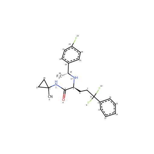 N#CC1(NC(=O)[C@H](CCC(F)(F)c2ccccc2)N[C@@H](c2ccc(F)cc2)C(F)(F)F)CC1